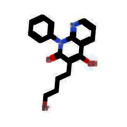 O=c1c(CCCCBr)c(O)c2cccnc2n1-c1ccccc1